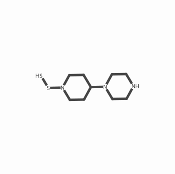 SSN1CCC(N2CCNCC2)CC1